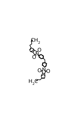 C=CCCC1=CC2CC1C1C(=O)N(c3ccc(Cc4ccc(N5C(=O)C6C7C=C(CC=C)C(C7)C6C5=O)cc4)cc3)C(=O)C21